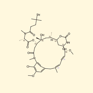 COc1cc2cc(c1Cl)N(C)C(=O)C[C@H](OC(=O)[C@H](C)N(C)C(=O)CCC(C)(C)S)[C@](C)(O)C[C@H](C)[C@@H]1C[C@@](O)(NC(=O)O1)[C@H](OC)/C=C/C=C(/C)C2